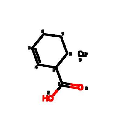 O=C(O)C1C=CCCC1.[Cu]